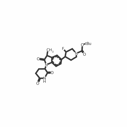 CC1C(=O)N(C2CCC(=O)NC2=O)c2ccc(C3CCN(C(=O)OC(C)(C)C)CC3F)cc21